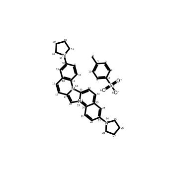 Cc1ccc(S(=O)(=O)[O-])cc1.c1cc2c(ccc3c[n+]4c5ccc(N6CCCC6)cc5ccc4n32)cc1N1CCCC1